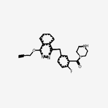 C#CCOc1nnc(Cc2ccc(F)c(C(=O)N3CCNCC3)c2)c2ccccc12